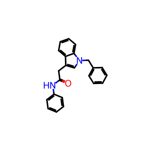 O=C(Cc1cn(Cc2ccccc2)c2ccccc12)Nc1ccccc1